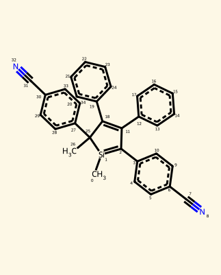 C[Si]1=C(c2ccc(C#N)cc2)C(c2ccccc2)=C(c2ccccc2)C1(C)c1ccc(C#N)cc1